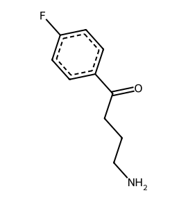 NCCCC(=O)c1ccc(F)cc1